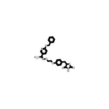 C/C(=N/OCCOc1ccc(CC2SC(=O)NC2=O)cc1)c1ccc(OCc2ccccc2)nc1